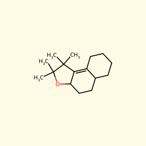 CC1(C)OC2CCC3CCCCC3=C2C1(C)C